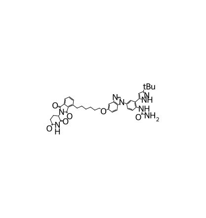 CC(C)(C)c1cc(-c2cc(-n3cnc4cc(OCCCCCCc5cccc6c5C(=O)N(C5CCC(=O)NC5=O)C6=O)ccc43)ccc2NC(N)=O)[nH]n1